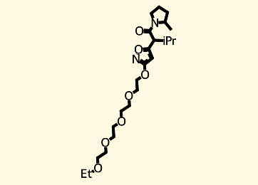 CCOCCOCCOCCOCCOc1cc(C(C(=O)N2CCCC2C)C(C)C)on1